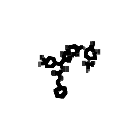 O=C(N[C@H](c1cn2nc(C[C@H]3C[C@@H](C(F)(F)F)CNC3=O)cnc2n1)C1CCC(F)(F)CC1)OCc1ccccc1